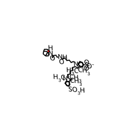 CN1/C(=C/C=C/C=C/C2=[N+](CCCCCC(=O)NCCC(=O)NC34CC5CC(CC(C5)C3)C4)c3ccc(S(=O)(=O)[O-])cc3C2(C)C)C(C)(C)c2cc(S(=O)(=O)O)ccc21